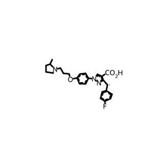 CC1CCCN1CCCOc1ccc(-n2cc(C(=O)O)c([CH]c3ccc(F)cc3)n2)cc1